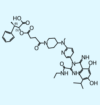 CCNC(=O)C(=N)N(C(=N)c1cc(C(C)C)c(O)cc1O)c1ccc(N(C)C2CCN(C(=O)CCC(=O)O[C@H](C(=O)O)[C@H](C)c3ccccc3)CC2)nc1